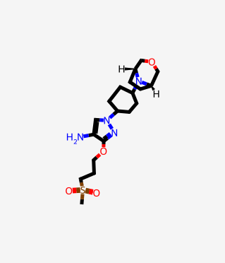 CS(=O)(=O)CCCOc1nn(C2CCC(N3[C@@H]4CC[C@H]3COC4)CC2)cc1N